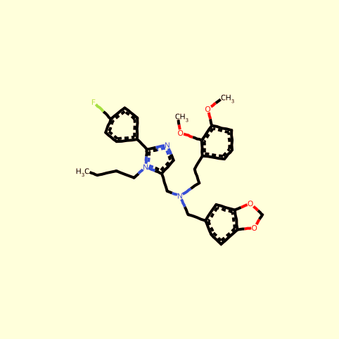 CCCCn1c(CN(CCc2cccc(OC)c2OC)Cc2ccc3c(c2)OCO3)cnc1-c1ccc(F)cc1